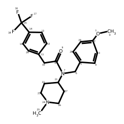 COc1ccc(CN(C(=O)Cc2ccc(C(F)(F)F)cc2)C2CCN(C)CC2)cc1